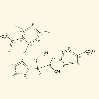 CC(O)C(C)(CO)c1ccco1.Cc1cc(C)c(C(=O)C(=O)O)c(C)c1.O=C(O)c1ccccc1